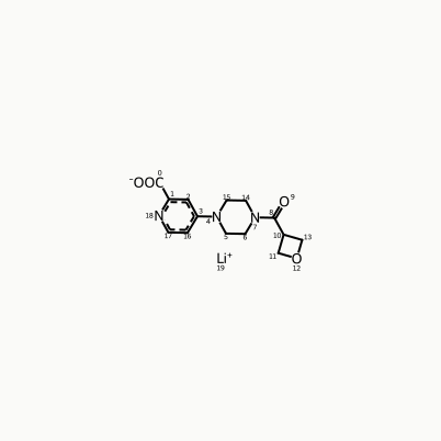 O=C([O-])c1cc(N2CCN(C(=O)C3COC3)CC2)ccn1.[Li+]